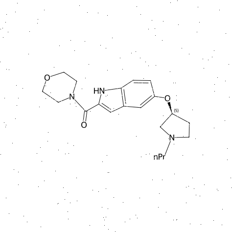 CCCN1CC[C@H](Oc2ccc3[nH]c(C(=O)N4CCOCC4)cc3c2)C1